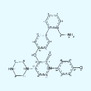 NCc1ccccc1-c1ccc(Oc2c(N3CCNCC3)cnn(-c3ccc(Cl)cc3)c2=O)cc1